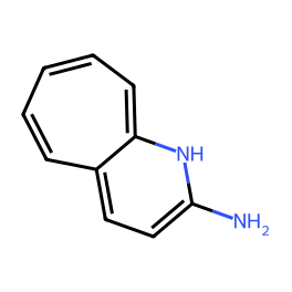 NC1=CC=C2C=CC=CC=C2N1